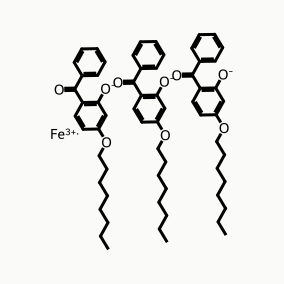 CCCCCCCCOc1ccc(C(=O)c2ccccc2)c([O-])c1.CCCCCCCCOc1ccc(C(=O)c2ccccc2)c([O-])c1.CCCCCCCCOc1ccc(C(=O)c2ccccc2)c([O-])c1.[Fe+3]